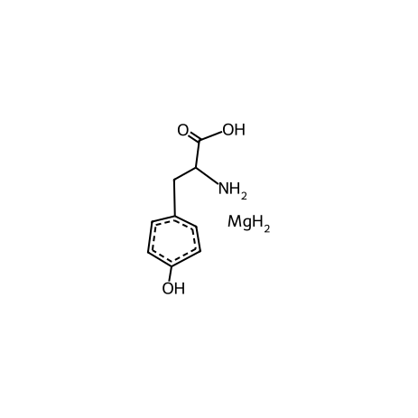 NC(Cc1ccc(O)cc1)C(=O)O.[MgH2]